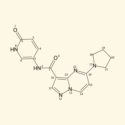 O=C(Nc1ccc(=O)[nH]c1)c1cnn2ccc(N3CCCC3)nc12